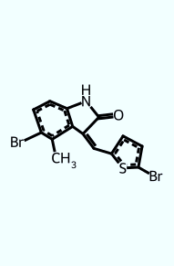 Cc1c(Br)ccc2c1C(=Cc1ccc(Br)s1)C(=O)N2